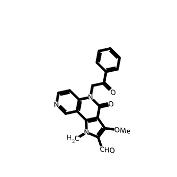 COc1c(C=O)n(C)c2c1c(=O)n(CC(=O)c1ccccc1)c1ccncc21